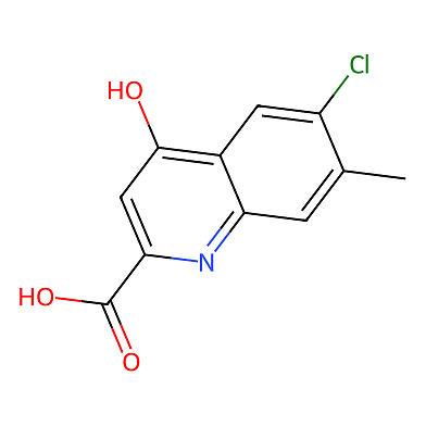 Cc1cc2nc(C(=O)O)cc(O)c2cc1Cl